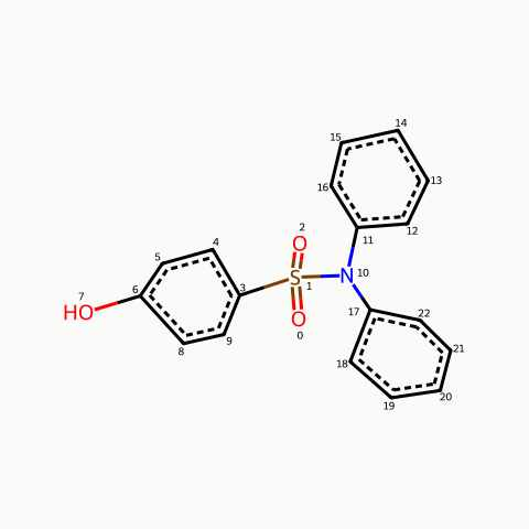 O=S(=O)(c1ccc(O)cc1)N(c1ccccc1)c1ccccc1